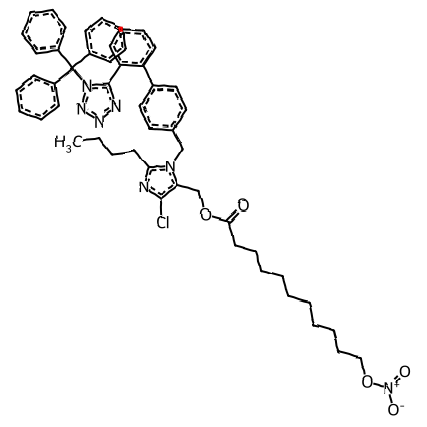 CCCCc1nc(Cl)c(COC(=O)CCCCCCCCCCO[N+](=O)[O-])n1Cc1ccc(-c2ccccc2-c2nnnn2C(c2ccccc2)(c2ccccc2)c2ccccc2)cc1